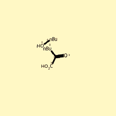 CCCCC(=O)C(=O)O.CCCCO